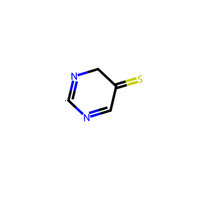 S=C1C=N[C]=NC1